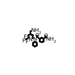 NCc1cc(N(C(=O)c2cccc(C(N)=O)c2)c2ccccc2)nc(C(F)(F)F)c1